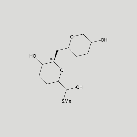 CSC(O)C1CCC(O)[C@@H](CC2CCC(O)CO2)O1